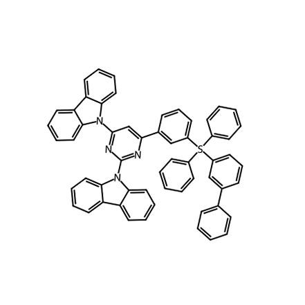 c1ccc(-c2cccc(S(c3ccccc3)(c3ccccc3)c3cccc(-c4cc(-n5c6ccccc6c6ccccc65)nc(-n5c6ccccc6c6ccccc65)n4)c3)c2)cc1